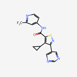 O=C(Nc1ccnc(C(F)(F)F)c1)c1snc(-c2cncnc2)c1C1CC1